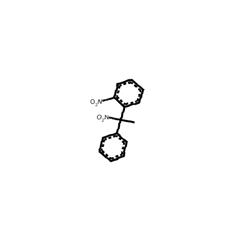 CC(c1ccccc1)(c1ccccc1[N+](=O)[O-])[N+](=O)[O-]